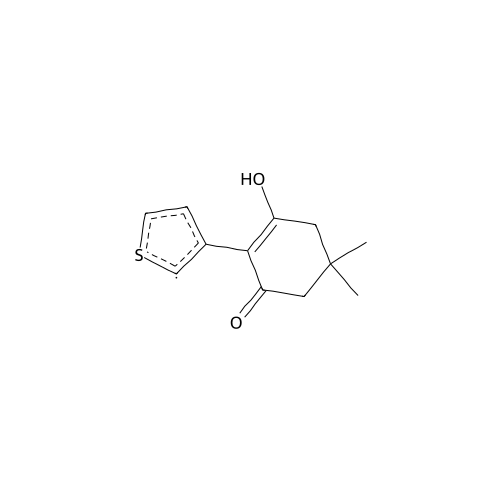 CC1(C)CC(=O)C(c2[c]scc2)=C(O)C1